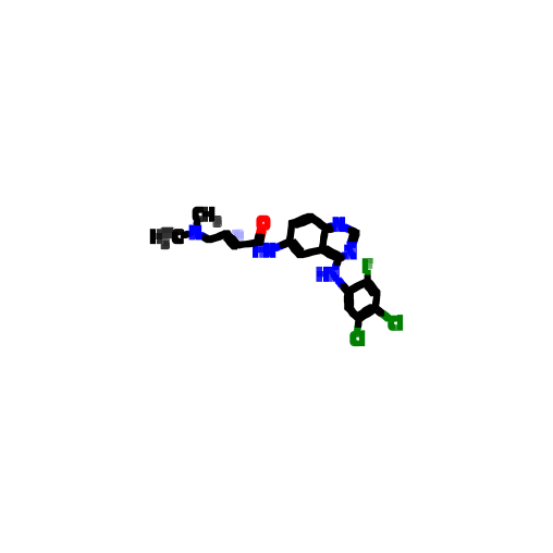 CN([11CH3])C/C=C/C(=O)Nc1ccc2ncnc(Nc3cc(Cl)c(Cl)cc3F)c2c1